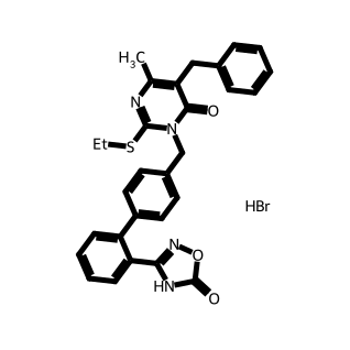 Br.CCSc1nc(C)c(Cc2ccccc2)c(=O)n1Cc1ccc(-c2ccccc2-c2noc(=O)[nH]2)cc1